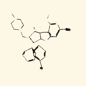 COc1nc(C#N)cc2c1[C@]1(O)[C@H](O)[C@H](CN3CCN(C)CC3)[C@@H](c3ccccc3)[C@]1(c1ccc(C#N)cc1)O2